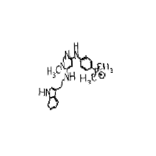 CN1CN=C(Nc2ccc(P(C)(C)=O)cc2)C=C1NCCc1c[nH]c2ccccc12